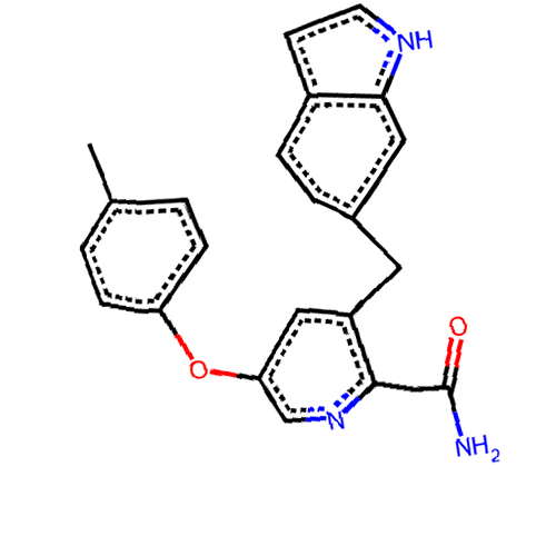 Cc1ccc(Oc2cnc(C(N)=O)c(Cc3ccc4cc[nH]c4c3)c2)cc1